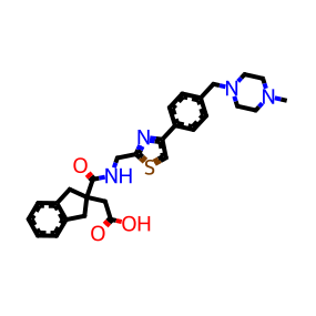 CN1CCN(Cc2ccc(-c3csc(CNC(=O)C4(CC(=O)O)Cc5ccccc5C4)n3)cc2)CC1